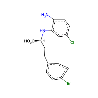 Nc1ccc(Cl)cc1N[C@@H](CCc1ccc(Br)cc1)C(=O)O